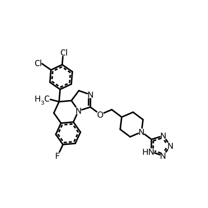 CC1(c2ccc(Cl)c(Cl)c2)Cc2cc(F)ccc2N2C(OCC3CCN(c4nnn[nH]4)CC3)=NCC21